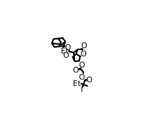 CCC(C)(I)C(=O)OCC(=O)OC1C2CC3C1OC(=O)C3C2C(=O)OC1(CC)C2CC3CC(C2)CC1C3